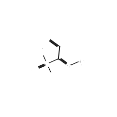 C=C/C(=N\C(C)C)P(=O)(CC)CC